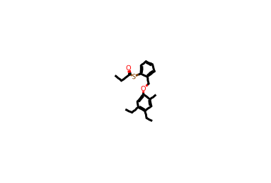 CCC(=O)Sc1ccccc1COc1cc(CC)c(CC)cc1C